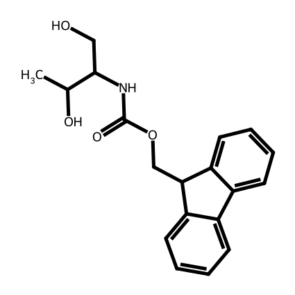 CC(O)C(CO)NC(=O)OCC1c2ccccc2-c2ccccc21